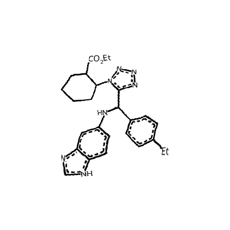 CCOC(=O)C1CCCCC1n1nnnc1C(Nc1ccc2[nH]cnc2c1)c1ccc(CC)cc1